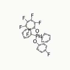 Fc1ccc(O[PH](Oc2c(F)c(F)c(F)c(F)c2F)(c2ccccc2)c2ccccc2)cc1